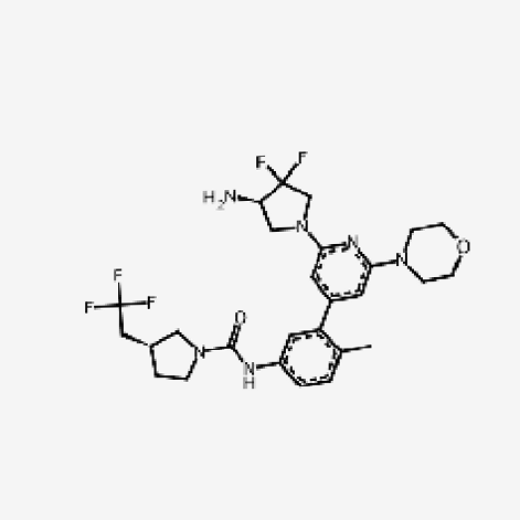 Cc1ccc(NC(=O)N2CC[C@@H](CC(F)(F)F)C2)cc1-c1cc(N2CCOCC2)nc(N2C[C@@H](N)C(F)(F)C2)c1